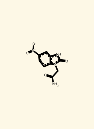 NC(=O)Cn1c(=O)[nH]c2cc([N+](=O)[O-])ccc21